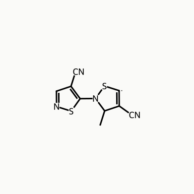 CC1C(C#N)=[C]SN1c1sncc1C#N